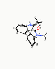 CC(C)N1C(=O)C2(C(C(C)(C)C)=Nc3ccccc32)c2ccccc21